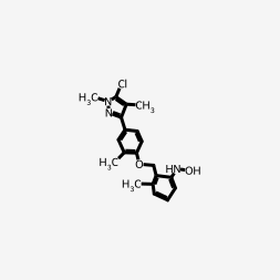 Cc1cc(-c2nn(C)c(Cl)c2C)ccc1OCc1c(C)cccc1NO